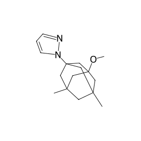 COC12CC3(C)CC(C)(C1)CC(n1cccn1)(C3)C2